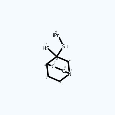 CC(C)SC1(S)CN2CCC1CC2